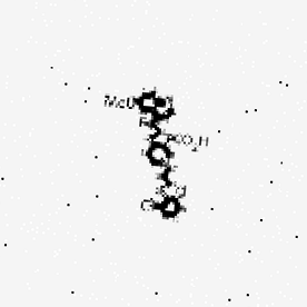 COc1ccc2nccc([C@H](F)CC[C@@H]3CCN(CCCSc4c(Cl)cccc4Cl)C[C@@H]3CC(=O)O)c2c1